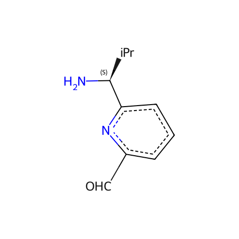 CC(C)[C@H](N)c1cccc(C=O)n1